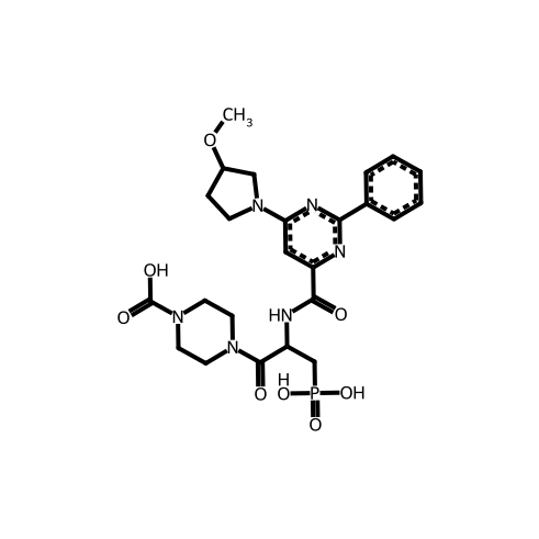 COC1CCN(c2cc(C(=O)NC(CP(=O)(O)O)C(=O)N3CCN(C(=O)O)CC3)nc(-c3ccccc3)n2)C1